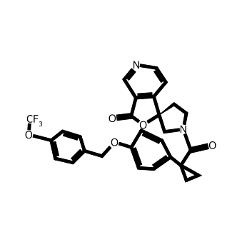 O=C1O[C@]2(CCN(C(=O)C3(c4ccc(OCc5ccc(OC(F)(F)F)cc5)cc4)CC3)C2)c2ccncc21